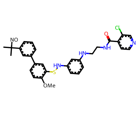 COc1ccc(-c2cccc(C(C)(C)N=O)c2)cc1SNc1cccc(NCCNC(=O)c2ccncc2Cl)c1